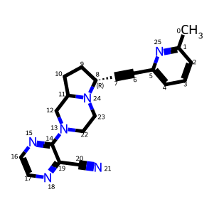 Cc1cccc(C#C[C@H]2CCC3CN(c4nccnc4C#N)CCN32)n1